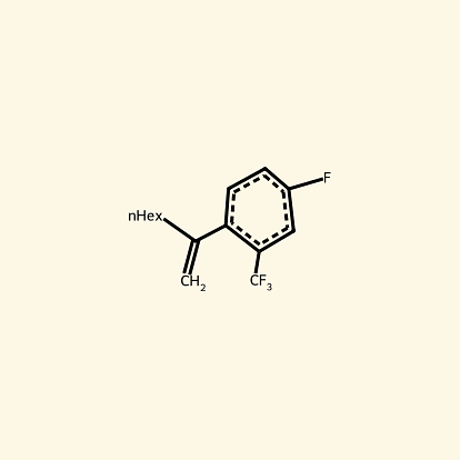 C=C(CCCCCC)c1ccc(F)cc1C(F)(F)F